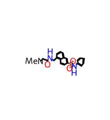 CNCC(=O)NCc1cccc2cc(S(=O)(=O)Nc3ccccc3)ccc12